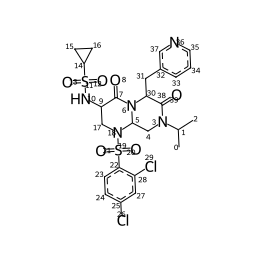 CC(C)N1CC2N(C(=O)C(NS(=O)(=O)C3CC3)CN2S(=O)(=O)c2ccc(Cl)cc2Cl)C(Cc2cccnc2)C1=O